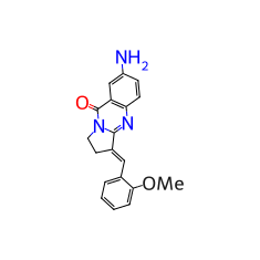 COc1ccccc1/C=C1\CCn2c1nc1ccc(N)cc1c2=O